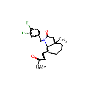 COC(=O)/C=C/C1=C2N(Cc3ccc(F)c(F)c3)C(=O)CC2(C)CCC1